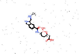 CNCC1NCc2ccc(C(=O)N[C@H]3CC[C@@H](CC(=O)O)OB3O)cc21